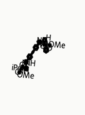 COC(=O)N[C@H](C(=O)N1CCC[C@H]1c1ncc(-c2ccc(C#Cc3ccc(-c4cnc([C@@H]5CCCN5C(=O)[C@H](NC(=O)OC)c5ccccc5)[nH]4)cc3)cc2)[nH]1)C(C)C